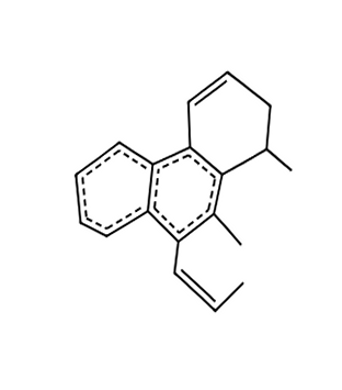 C/C=C\c1c(C)c2c(c3ccccc13)C=CCC2C